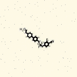 CC=CC1CCC(c2ccc(COC(F)(F)Cc3ccc(C#N)c(F)c3)cc2)CC1